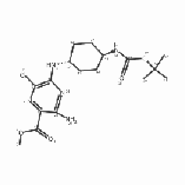 COC(=O)c1nc(Cl)c(N[C@H]2CC[C@H](NC(=O)OC(C)(C)C)CC2)nc1N